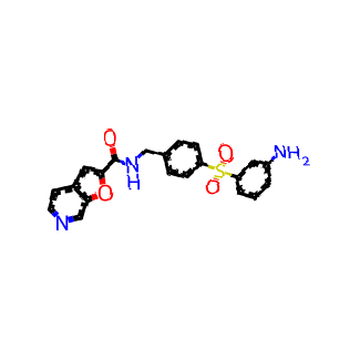 Nc1cccc(S(=O)(=O)c2ccc(CNC(=O)c3cc4ccncc4o3)cc2)c1